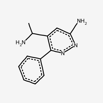 CC(N)c1cc(N)nnc1-c1ccccc1